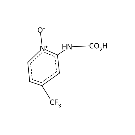 O=C(O)Nc1cc(C(F)(F)F)cc[n+]1[O-]